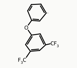 FC(F)(F)c1cc(Oc2c[c]ccc2)cc(C(F)(F)F)c1